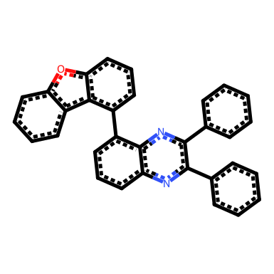 c1ccc(-c2nc3cccc(-c4cccc5oc6ccccc6c45)c3nc2-c2ccccc2)cc1